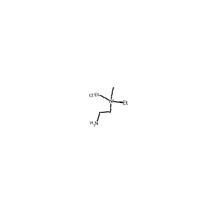 CC[N+](C)(CC)CCN.[Cl-]